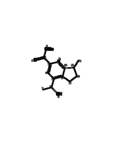 COC(=O)c1cc(C(C)O)c2c(n1)C(C)CC2